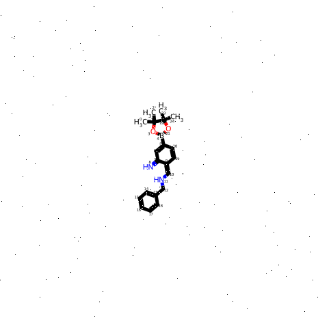 CC1(C)OB(C2=CC(=N)/C(=C\NCc3ccccc3)C=C2)OC1(C)C